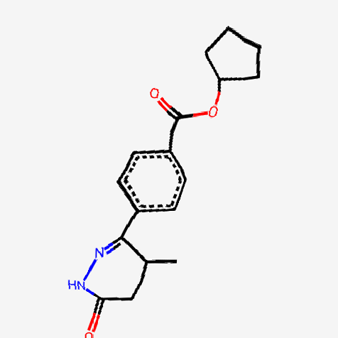 CC1CC(=O)NN=C1c1ccc(C(=O)OC2CCCC2)cc1